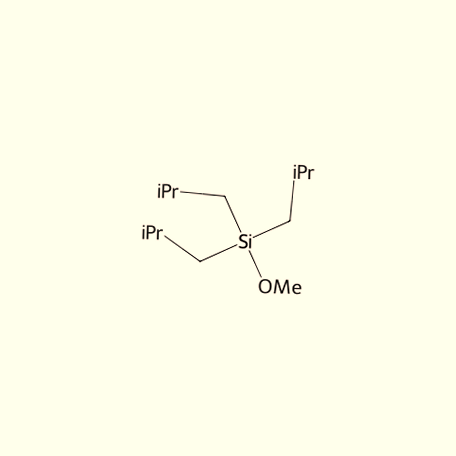 [CH2]O[Si](CC(C)C)(CC(C)C)CC(C)C